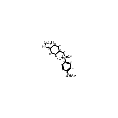 COc1ccc(S(=O)(=O)CC2CCC(NC(=O)O)CC2)cc1